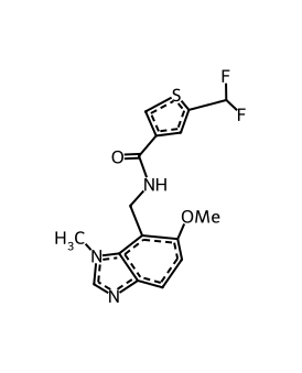 COc1ccc2ncn(C)c2c1CNC(=O)c1csc(C(F)F)c1